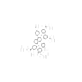 C=C(C)c1ccc(C2(c3ccc(C(C)(C)C)cc3)c3cc(Br)ccc3-c3c2cc2c4c(cccc34)C(c3ccc(C(C)(C)C)cc3)(c3ccc(C(C)(C)C)cc3)c3cc(Br)ccc3-2)cc1